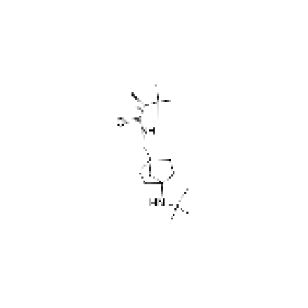 C[C@H](C(=O)NCC12CCC(NC(C)(C)C)(CC1)C2)C(C)(C)C